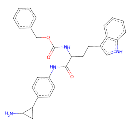 NC1CC1c1ccc(NC(=O)C(CCc2c[nH]c3ccccc23)NC(=O)OCc2ccccc2)cc1